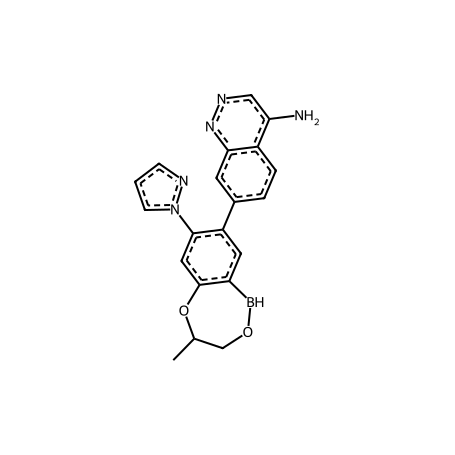 CC1COBc2cc(-c3ccc4c(N)cnnc4c3)c(-n3cccn3)cc2O1